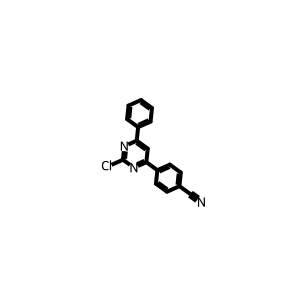 N#Cc1ccc(-c2cc(-c3ccccc3)nc(Cl)n2)cc1